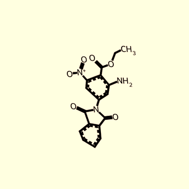 CCOC(=O)c1c(N)cc(N2C(=O)c3ccccc3C2=O)cc1[N+](=O)[O-]